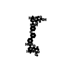 COC(=O)N[C@@H](C(=O)N1[C@@H]2C[C@H]2C[C@H]1c1nc2cc(-c3cccc(Oc4ccc5[nH]c([C@@H]6C[C@H]7C[C@H]7N6C(=O)[C@@H](C(C)C)N(C)C(=O)O)nc5c4)c3)ccc2[nH]1)C(C)C